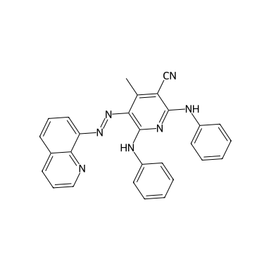 Cc1c(C#N)c(Nc2ccccc2)nc(Nc2ccccc2)c1N=Nc1cccc2cccnc12